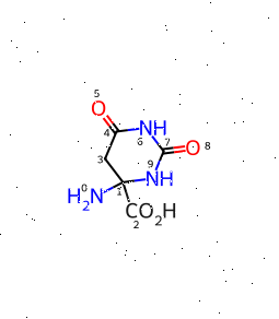 NC1(C(=O)O)CC(=O)NC(=O)N1